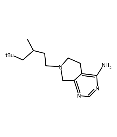 CC(CCN1CCc2c(N)ncnc2C1)CC(C)(C)C